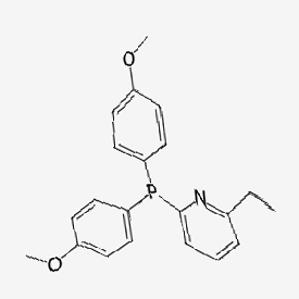 CCc1cccc(P(c2ccc(OC)cc2)c2ccc(OC)cc2)n1